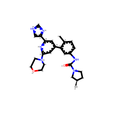 CC[C@@H]1CCN(C(=O)Nc2ccc(C)c(-c3cc(-c4c[nH]cn4)nc(N4CCOCC4)c3)c2)C1